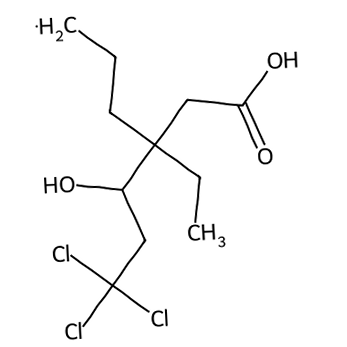 [CH2]CCC(CC)(CC(=O)O)C(O)CC(Cl)(Cl)Cl